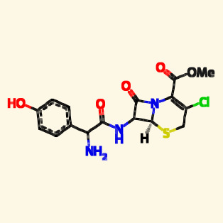 COC(=O)C1=C(Cl)CS[C@H]2C(NC(=O)C(N)c3ccc(O)cc3)C(=O)N12